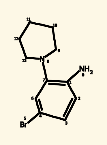 Nc1ccc(Br)cc1N1CCCCC1